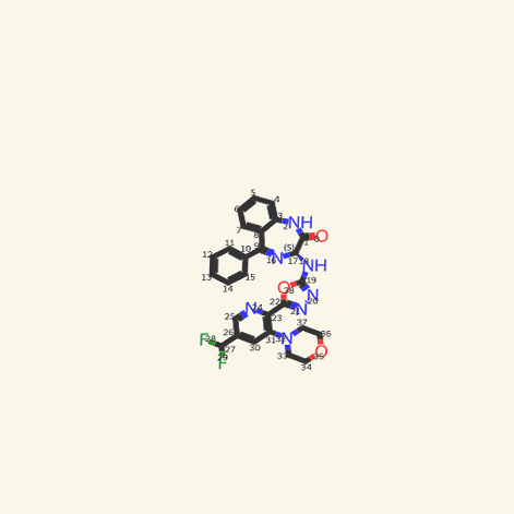 O=C1Nc2ccccc2C(c2ccccc2)=N[C@@H]1Nc1nnc(-c2ncc(C(F)F)cc2N2CCOCC2)o1